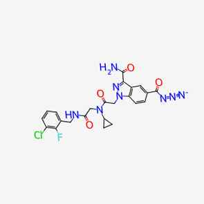 [N-]=[N+]=NC(=O)c1ccc2c(c1)c(C(N)=O)nn2CC(=O)N(CC(=O)NCc1cccc(Cl)c1F)C1CC1